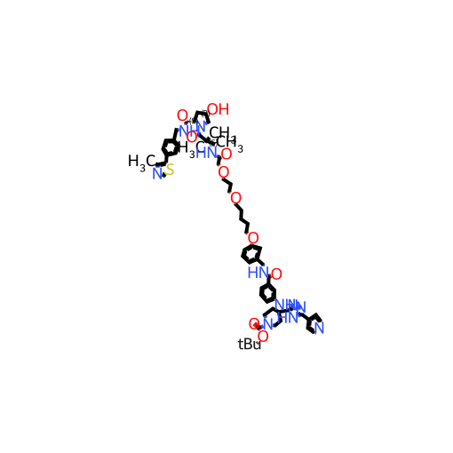 Cc1ncsc1-c1ccc(CNC(=O)[C@@H]2C[C@@H](O)CN2C(=O)C(C)(C)[C@H](C)NC(=O)COCCCOCCCCCOc2cccc(CNC(=O)c3cccc(NC4(c5nnc(-c6ccncc6)[nH]5)CCN(C(=O)OC(C)(C)C)CC4)c3)c2)cc1